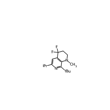 CC(C)c1cc2c(c(C(C)(C)C)n1)N(C)CCC2(F)F